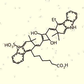 CCC1=c2c([nH]c3ccccc23)=CC(C)(C)C1=CC1C(O)=C(C=C2C(CCCCCC(=O)O)=c3c(n(S(=O)(=O)O)c4ccccc34)=CC2(C)C)C1O